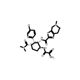 CN1CCc2nc(C(=O)N[C@H]3[C@@H](c4ccc(Cl)cn4)[C@@H](C(=O)N(C)C)CC[C@@H]3NC(=O)C(N)=O)sc2C1